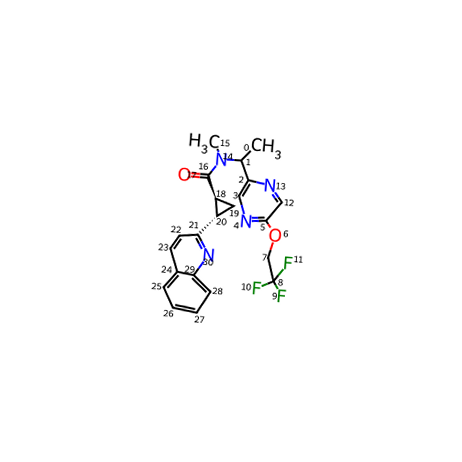 CC(c1cnc(OCC(F)(F)F)cn1)N(C)C(=O)[C@H]1C[C@@H]1c1ccc2ccccc2n1